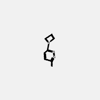 Cc1ccc(N2CCC2)nn1